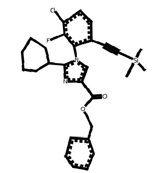 C[Si](C)(C)C#Cc1ccc(Cl)c(F)c1-n1cc(C(=O)OCc2ccccc2)nc1C1CCCCC1